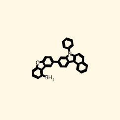 Bc1cccc2oc3ccc(-c4ccc5c6c7ccccc7ccc6n(-c6ccccc6)c5c4)cc3c12